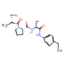 CC(=O)N[C@@H](C)C(=O)N1CCC[C@H]1C(=O)N[C@H](C(=O)Nc1ccc(COC(C)=O)cc1)C(C)C